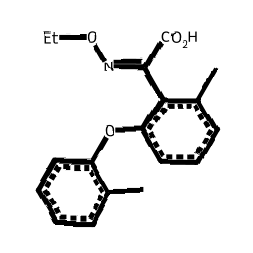 CCON=C(C(=O)O)c1c(C)cccc1Oc1ccccc1C